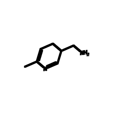 CC1=CCC(CN)C=N1